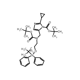 CC(C)(C)OC(=O)N(CCO[Si](c1ccccc1)(c1ccccc1)C(C)(C)C)Cc1cnc(C2CC2)n1C(=O)OC(C)(C)C